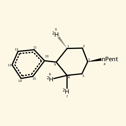 [2H][C@@H]1C[C@@H](CCCCC)CC([2H])([2H])C1c1ccccc1